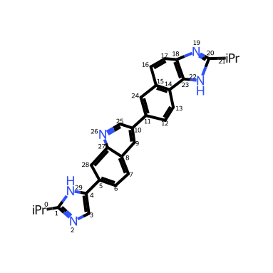 CC(C)c1ncc(-c2ccc3cc(-c4ccc5c(ccc6nc(C(C)C)[nH]c65)c4)cnc3c2)[nH]1